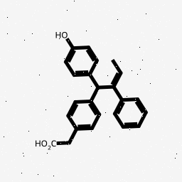 CC=C(c1ccccc1)C(c1ccc(O)cc1)c1ccc(CC(=O)O)cc1